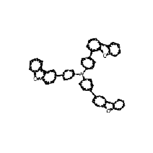 c1ccc2c(c1)oc1ccc(-c3ccc(N(c4ccc(-c5ccc6oc7ccccc7c6c5)cc4)c4ccc(-c5cccc6c5oc5ccccc56)cc4)cc3)cc12